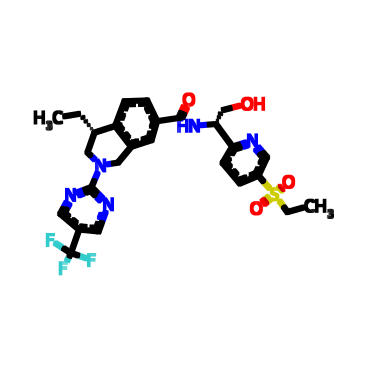 CC[C@H]1CN(c2ncc(C(F)(F)F)cn2)Cc2cc(C(=O)N[C@H](CO)c3ccc(S(=O)(=O)CC)cn3)ccc21